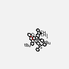 CC(C)(C)c1ccc(N2B3c4cc5c(-c6ccccc6)sc(-c6ccccc6)c5cc4N(c4ccc(C(C)(C)C)cc4-c4ccccc4)c4cc5c(oc6ccccc65)c(c43)-c3cc4c(cc32)C(C)(C)c2ccccc2-4)cc1